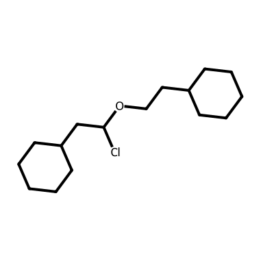 ClC(CC1CCCCC1)OCCC1CCCCC1